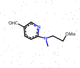 COCCN(C)c1ccc(C=O)cn1